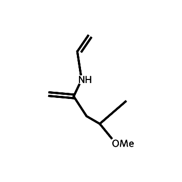 C=CNC(=C)CC(C)OC